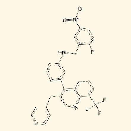 O=[N+]([O-])c1ccc(F)c(CNc2cccc(-c3c(Cc4ccccc4)cnc4c(C(F)(F)F)cccc34)c2)c1